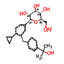 CC(C)(O)c1ccc(Cc2cc([C@@H]3O[C@H](CO)[C@@H](O)[C@H](O)[C@H]3O)ccc2C2CC2)cc1